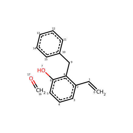 C=Cc1cccc(O)c1Cc1ccccc1.C=O